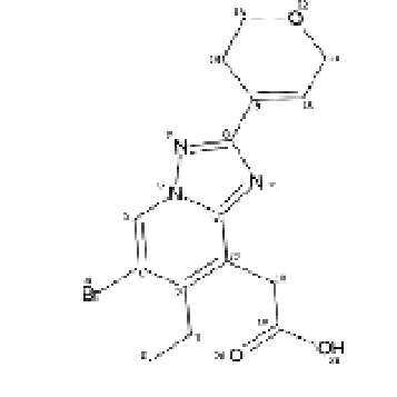 CCc1c(Br)cn2nc(C3=CCOCC3)nc2c1CC(=O)O